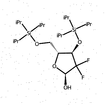 CC(C)[Si](OC[C@H]1O[C@H](O)C(F)(F)[C@@H]1O[Si](C(C)C)(C(C)C)C(C)C)(C(C)C)C(C)C